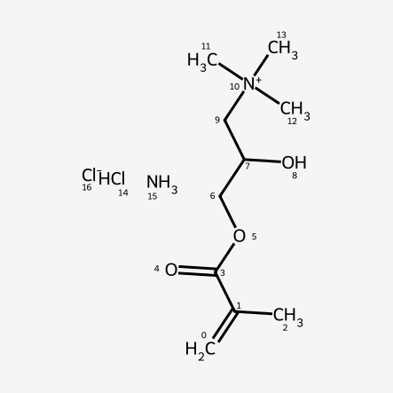 C=C(C)C(=O)OCC(O)C[N+](C)(C)C.Cl.N.[Cl-]